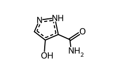 NC(=O)c1[nH]ncc1O